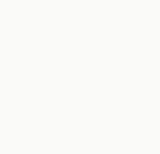 CC1C=CC=C(c2ccccc2)C1C